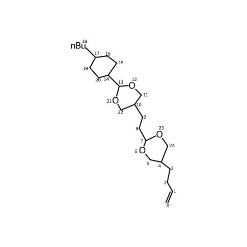 C=CCCC1COC(CCC2COC(C3CCC(CCCC)CC3)OC2)OC1